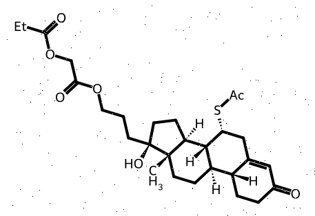 CCC(=O)OCC(=O)OCCC[C@]1(O)CC[C@H]2[C@H]3[C@H](CC[C@@]21C)[C@H]1CCC(=O)C=C1C[C@H]3SC(C)=O